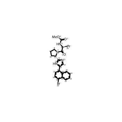 COC(=O)N[C@H](C(=O)N1CCC[C@H]1c1ncc(-c2ccc(Br)c3ccccc23)[nH]1)C(C)C